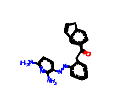 Nc1ccc(/N=N/c2ccccc2CC(=O)c2ccc3c(c2)C=CC3)c(N)n1